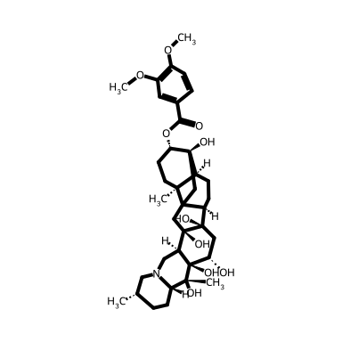 COc1ccc(C(=O)O[C@H]2CC[C@@]3(C)[C@@H]4CC[C@@H]5C3(C[C@]24O)C[C@@]2(O)[C@@H]3CN4C[C@@H](C)CC[C@H]4[C@@](C)(O)[C@@]3(O)[C@@H](O)C[C@@]52O)cc1OC